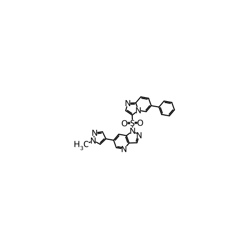 Cn1cc(-c2cnc3cnn(S(=O)(=O)c4cnc5ccc(-c6ccccc6)cn45)c3c2)cn1